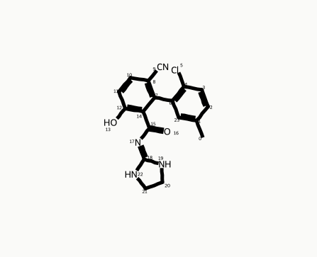 Cc1ccc(Cl)c(-c2c(C#N)ccc(O)c2C(=O)N=C2NCCN2)c1